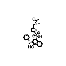 CC(=O)NCc1ccc(S(=O)(=O)Nc2cc(Sc3ccccc3)c(O)c3ccccc23)s1